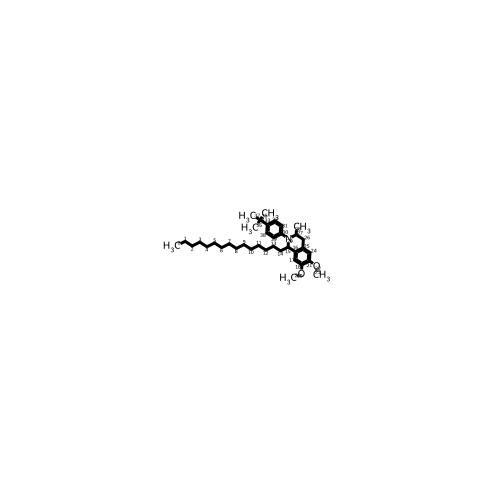 CCCCCCCCCCCCCCCC1c2cc(OC)c(OC)cc2CC(C)N1c1ccc(C(C)(C)C)cc1